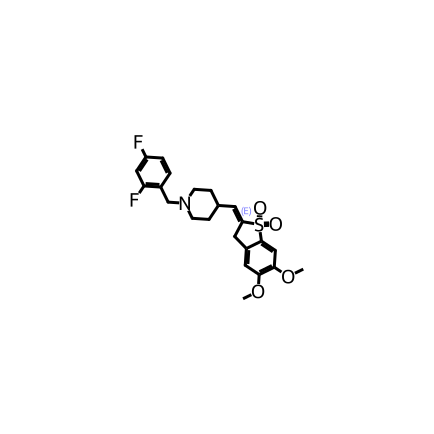 COc1cc2c(cc1OC)S(=O)(=O)/C(=C/C1CCN(Cc3ccc(F)cc3F)CC1)C2